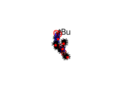 CC(C)(C)OC(=O)N1CCN([C@H]2CCc3ccc(-c4ccc(OCc5ccccc5)nc4OCc4ccccc4)cc3C2)CC1